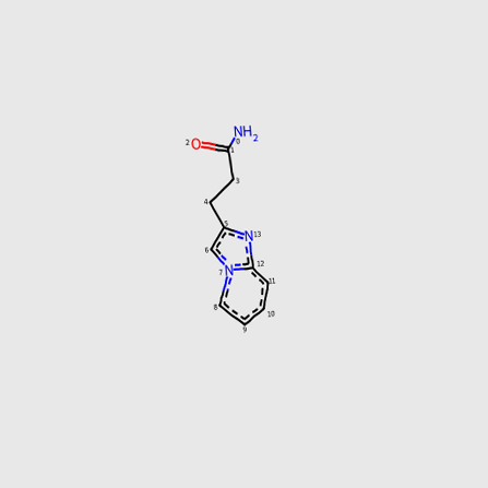 NC(=O)CCc1cn2ccccc2n1